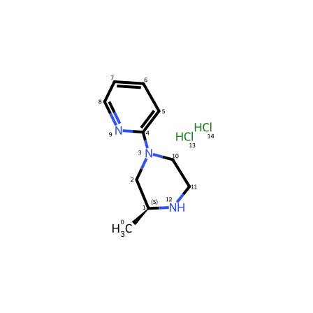 C[C@H]1CN(c2ccccn2)CCN1.Cl.Cl